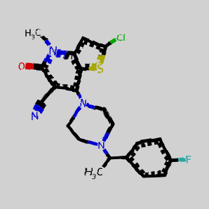 CC(c1ccc(F)cc1)N1CCN(c2c(C#N)c(=O)n(C)c3cc(Cl)sc23)CC1